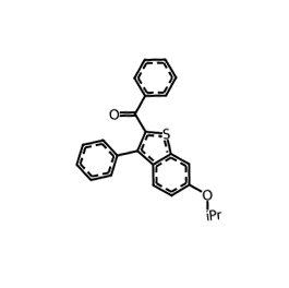 CC(C)Oc1ccc2c(-c3ccccc3)c(C(=O)c3ccccc3)sc2c1